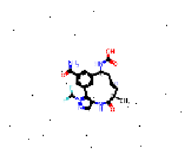 C[C@@H]1/C=C/C[C@H](NC(=O)O)c2cc(C(N)=O)cc(c2)-c2c(cnn2C(F)F)NC1=O